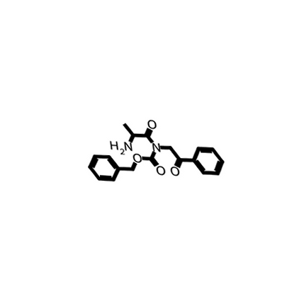 CC(N)C(=O)N(CC(=O)c1ccccc1)C(=O)OCc1ccccc1